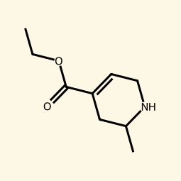 CCOC(=O)C1=CCNC(C)C1